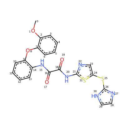 COc1ccccc1Oc1ccccc1NC(=O)C(=O)Nc1ncc(Sc2ncc[nH]2)s1